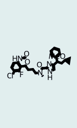 COC1(CC(c2ccccc2)c2c[nH]c(C(=O)N(C)CCCC3OC(=O)Nc4ccc(Cl)c(F)c43)n2)CC1